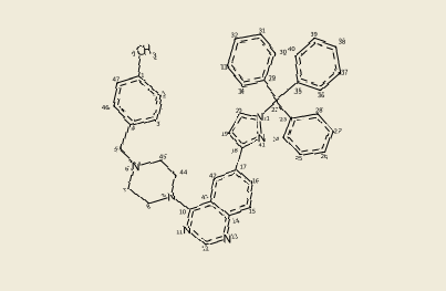 Cc1ccc(CN2CCN(c3ncnc4ccc(-c5ccn(C(c6ccccc6)(c6ccccc6)c6ccccc6)n5)cc34)CC2)cc1